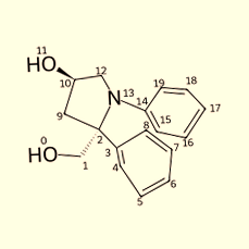 OC[C@]1(c2ccccc2)C[C@@H](O)CN1c1ccccc1